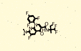 CN(C)c1nc2c(cc1F)c(=O)c(C(=O)NC(C)(CF)C(F)F)cn2-c1c(F)cc(F)cc1F